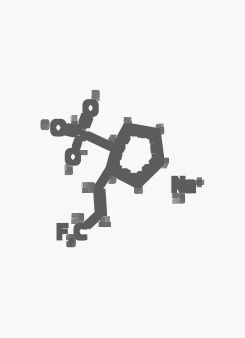 O=S(=O)([O-])c1ccccc1C=CC(F)(F)F.[Na+]